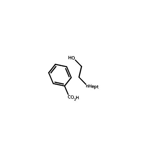 CCCCCCCCCO.O=C(O)c1ccccc1